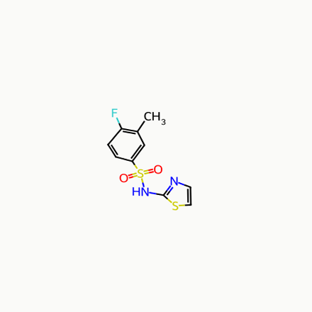 Cc1cc(S(=O)(=O)Nc2nccs2)ccc1F